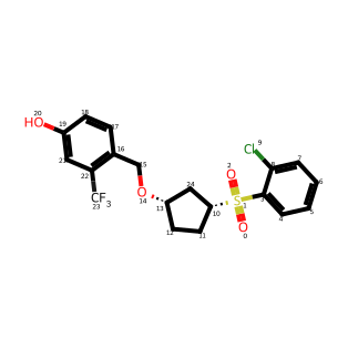 O=S(=O)(c1ccccc1Cl)[C@@H]1CC[C@H](OCc2ccc(O)cc2C(F)(F)F)C1